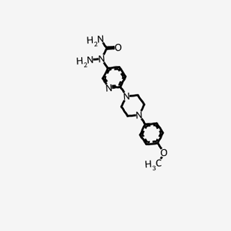 COc1ccc(N2CCN(c3ccc(N(N)C(N)=O)cn3)CC2)cc1